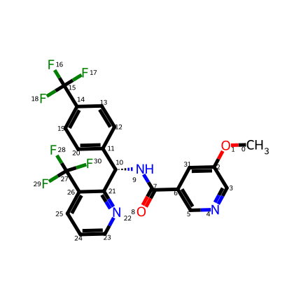 COc1cncc(C(=O)N[C@@H](c2ccc(C(F)(F)F)cc2)c2ncccc2C(F)(F)F)c1